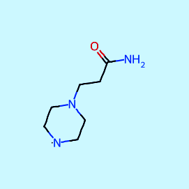 NC(=O)CCN1CC[N]CC1